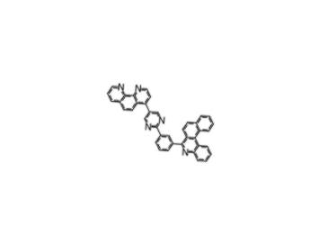 c1cc(-c2ncc(-c3ccnc4c3ccc3cccnc34)cn2)cc(-c2nc3ccccc3c3c2ccc2ccccc23)c1